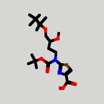 COC(CCN(C(=O)OC(C)(C)C)c1nc(C(=O)O)cs1)CO[Si](C)(C)C(C)(C)C